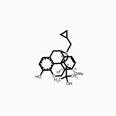 CO[C@@]12C=C[C@@]3(C[C@@H]1C(C)(C)O)C1Cc4ccc(O)c5c4C3(CCN1CC1CC1)C2CO5